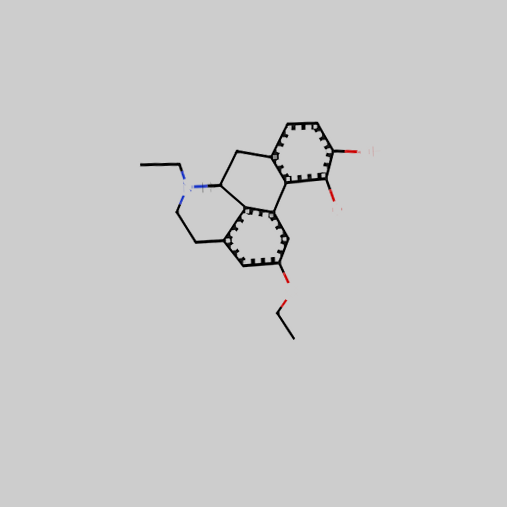 CCOc1cc2c3c(c1)-c1c(ccc(O)c1O)C[C@H]3N(CC)CC2